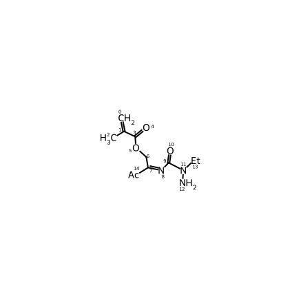 C=C(C)C(=O)OCC(=NC(=O)N(N)CC)C(C)=O